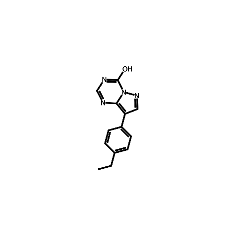 CCc1ccc(-c2cnn3c(O)ncnc23)cc1